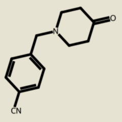 N#Cc1ccc(CN2CCC(=O)CC2)cc1